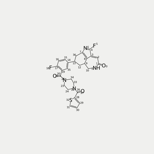 O=C1C=C2C(F)=NC3=C2C(CN1)CC(c1ccc(F)c(C(=O)N2CCN(C(=O)c4cccs4)CC2)c1)C3